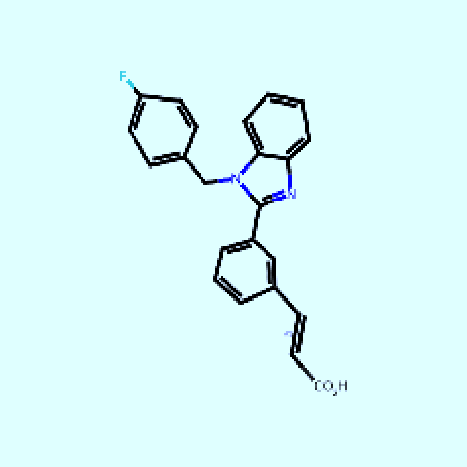 O=C(O)/C=C/c1cccc(-c2nc3ccccc3n2Cc2ccc(F)cc2)c1